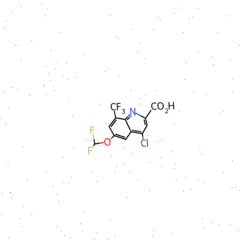 O=C(O)c1cc(Cl)c2cc(OC(F)F)cc(C(F)(F)F)c2n1